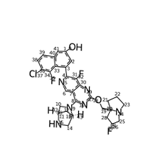 Oc1cc(-c2ncc3c(N4C[C@H]5C[C@@H]4CN5)nc(OC[C@@]45CCCN4C[C@H](F)C5)nc3c2F)c2c(F)c(Cl)ccc2c1